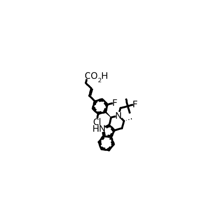 C[C@@H]1Cc2c([nH]c3ccccc23)[C@@H](c2c(F)cc(/C=C/CC(=O)O)cc2Cl)N1CC(C)(C)F